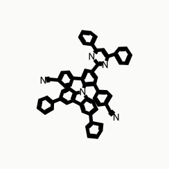 N#Cc1ccc(-c2cc(-c3nc(-c4ccccc4)cc(-c4ccccc4)n3)cc(-c3ccc(C#N)cc3)c2-n2c3ccc(-c4ccccc4)cc3c3cc(-c4ccccc4)ccc32)cc1